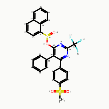 CS(=O)(=O)c1ccc(-c2nc(C(F)(F)F)nc(OS(=O)c3cccc4ccccc34)c2-c2ccccc2)cc1